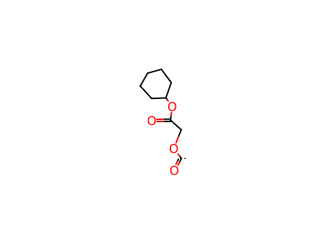 O=[C]OCC(=O)OC1CCCCC1